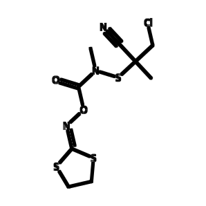 CN(SC(C)(C#N)CCl)C(=O)ON=C1SCCS1